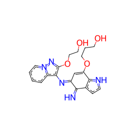 N=C1C(=Nc2c(OCCO)nn3ccccc23)C=C(OCCCO)c2[nH]ccc21